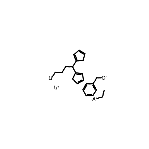 C[CH2][Al].[Li+].[Li][CH2]CCC(C1=CC=CC1)C1=CC=CC1.[O-]Cc1ccccc1